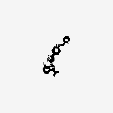 CC(C)c1nn(-c2noc(C3CCC(NCC4CCCO4)CC3)n2)c2c(F)cccc12